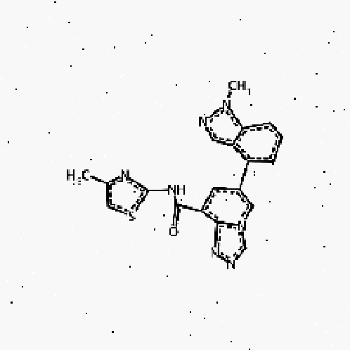 Cc1csc(NC(=O)c2cc(-c3cccc4c3cnn4C)cn3cnnc23)n1